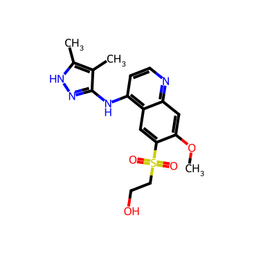 COc1cc2nccc(Nc3n[nH]c(C)c3C)c2cc1S(=O)(=O)CCO